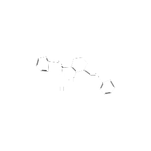 Cl.ClC(=Nc1ccccc1)C1=C(Cl)C(=CNc2ccccc2)CCC1